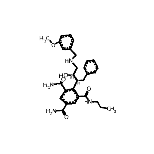 CCCNC(=O)c1cc(C(N)=O)cc(C(N)=O)c1[C@H](Cc1ccccc1)[C@@H](O)CNCc1cccc(OC)c1